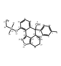 Cc1ccc(C2(O)c3cccc(O[Si](C)(C)CC(C)C)c3-c3noc4c3C2(O)CCC4)cc1